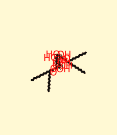 CCCCCCCCCCCC(CCCCCCCCCCC)CC(=O)OCC1O[C@H](O[C@H]2OC(COC(=O)CC(CCCCCCCCCCC)CCCCCCCCCCC)[C@@H](O)[C@H](O)C2O)C(O)[C@@H](O)[C@@H]1O